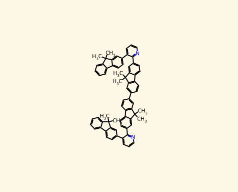 CC1(C)c2ccccc2-c2ccc(-c3cccnc3-c3ccc4c(c3)C(C)(C)c3cc(-c5ccc6c(c5)C(C)(C)c5cc(-c7ncccc7-c7ccc8c(c7)C(C)(C)c7ccccc7-8)ccc5-6)ccc3-4)cc21